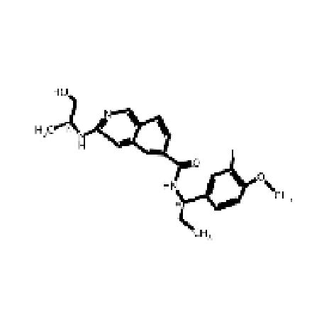 CC[C@@H](NC(=O)c1ccc2cnc(N[C@@H](C)CO)cc2c1)c1ccc(OC)c(F)c1